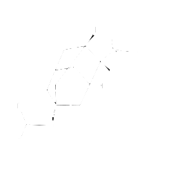 O=C(O)N[C@@H]1[C@@H]2CC3C[C@H]1C[C@@](OC(F)F)(C3)C2